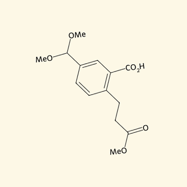 COC(=O)CCc1ccc(C(OC)OC)cc1C(=O)O